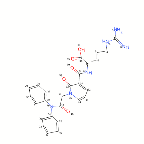 N=C(N)NCCC[C@H](NC(=O)c1cccn(CC(=O)N(c2ccccc2)c2ccccc2)c1=O)C(=O)O